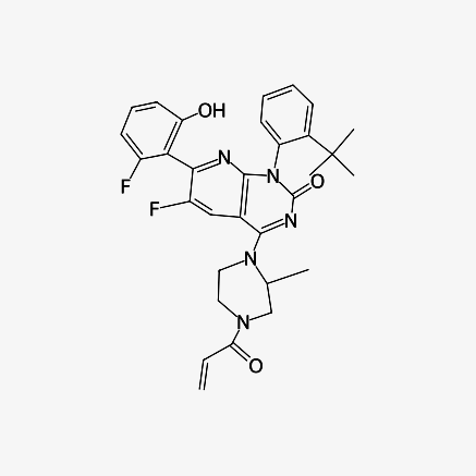 C=CC(=O)N1CCN(c2nc(=O)n(-c3ccccc3C(C)(C)C)c3nc(-c4c(O)cccc4F)c(F)cc23)C(C)C1